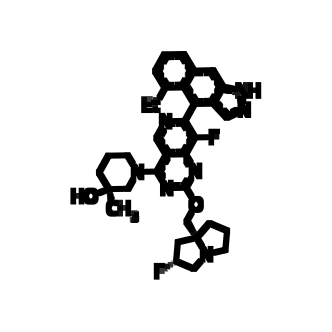 CCc1cccc2cc3[nH]ncc3c(-c3ncc4c(N5CCC[C@@](C)(O)C5)nc(OC[C@@]56CCCN5C[C@H](F)C6)nc4c3F)c12